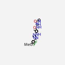 COc1ccc(-c2cnc3c(Nc4ccc(C(=O)NC5CN(C(=O)[C@@H]6CCCN6)C5)c(C)c4)nccn23)c(F)c1F